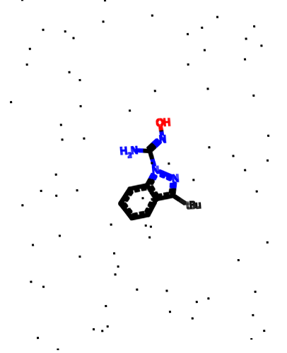 CC(C)(C)c1nn(/C(N)=N/O)c2ccccc12